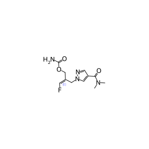 CN(C)C(=O)c1cnn(C/C(=C\F)COC(N)=O)c1